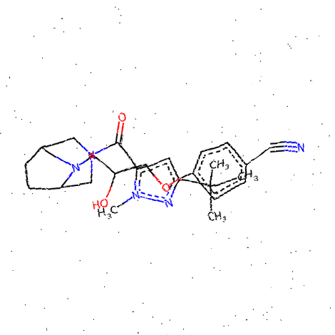 Cn1nc(C(C)(C)C)cc1C(=O)N1CC2CCC(C1)N2CC(O)COc1ccc(C#N)cc1